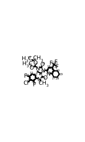 CN(C(=O)[C@@H]1CN(C(=O)OC(C)(C)C)C(=O)N1c1cc(C(F)(F)F)c2c(n1)CCCC2)c1ccc(F)c(Cl)c1F